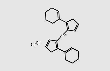 C1=C[C]([Zr+2][C]2=C(C3=CCCCC3)CC=C2)=C(C2=CCCCC2)C1.[Cl-].[Cl-]